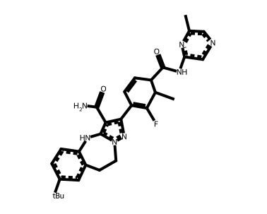 Cc1cncc(NC(=O)C2C=CC(c3nn4c(c3C(N)=O)Nc3ccc(C(C)(C)C)cc3CC4)=C(F)C2C)n1